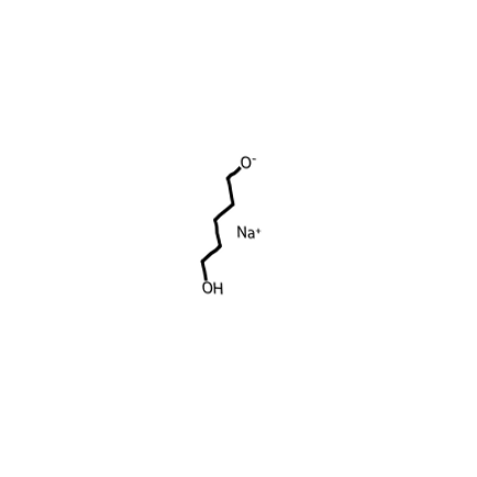 [Na+].[O-]CCCCCO